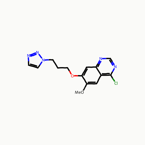 COc1cc2c(Cl)ncnc2cc1OCCCn1ccnn1